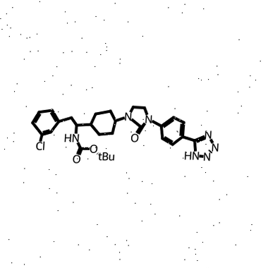 CC(C)(C)OC(=O)NC(Cc1cccc(Cl)c1)C1CCC(N2CCN(c3ccc(-c4nnn[nH]4)cc3)C2=O)CC1